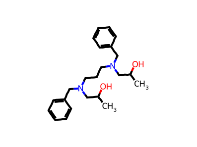 CC(O)CN(CCCN(Cc1ccccc1)CC(C)O)Cc1ccccc1